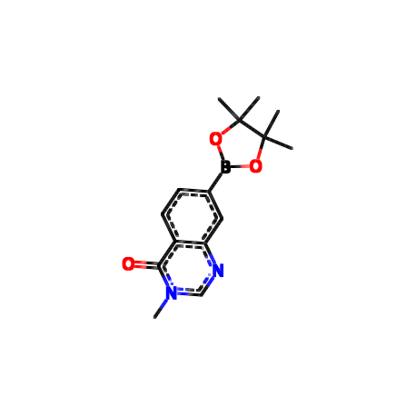 Cn1cnc2cc(B3OC(C)(C)C(C)(C)O3)ccc2c1=O